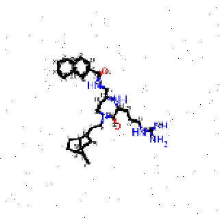 CC1C2CCC3C(CCN4CCC(CNC(=O)c5ccc6ccccc6c5)NC(CCCNC(=N)N)C4=O)CC132